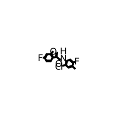 Cc1cc(Cl)c(NC(=O)c2coc3cc(F)ccc23)cc1F